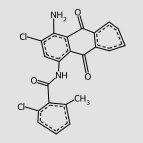 Cc1cccc(Cl)c1C(=O)Nc1cc(Cl)c(N)c2c1C(=O)c1ccccc1C2=O